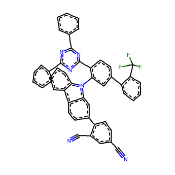 N#Cc1ccc(-c2ccc3c4ccccc4n(-c4cc(-c5ccccc5C(F)(F)F)ccc4-c4nc(-c5ccccc5)nc(-c5ccccc5)n4)c3c2)c(C#N)c1